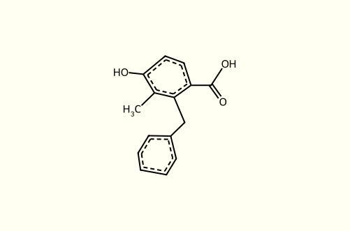 Cc1c(O)ccc(C(=O)O)c1Cc1ccccc1